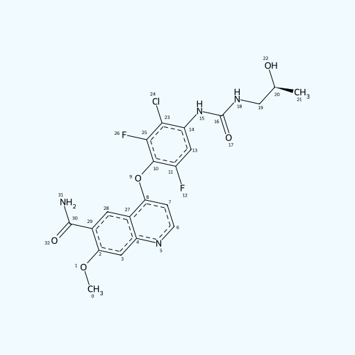 COc1cc2nccc(Oc3c(F)cc(NC(=O)NC[C@H](C)O)c(Cl)c3F)c2cc1C(N)=O